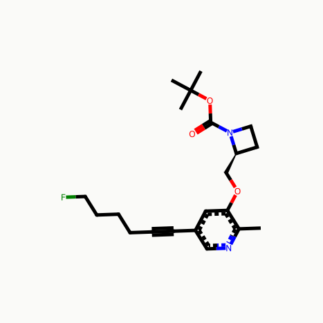 Cc1ncc(C#CCCCCF)cc1OC[C@@H]1CCN1C(=O)OC(C)(C)C